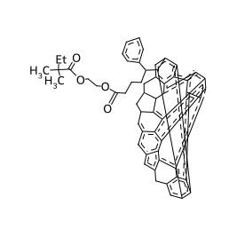 CCC(C)(C)C(=O)OCCOC(=O)CCCC(c1ccccc1)C1c2cc3c4c5c6c7c8c9c(cc%10cc%11c%12c%10c9c7c7c%12c9c(cc1c1c2c4c6c7c19)C%11)=CC1CC(C3)C5C=81